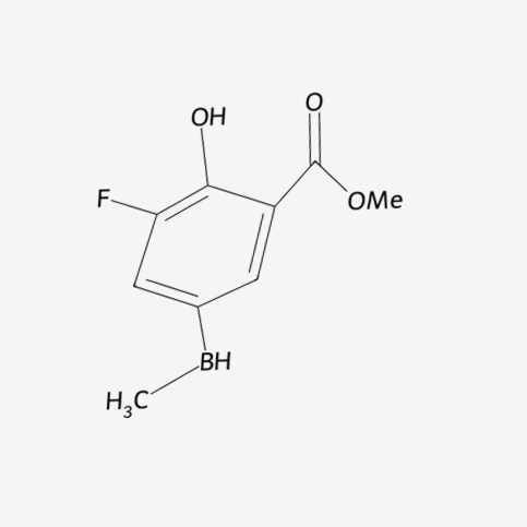 CBc1cc(F)c(O)c(C(=O)OC)c1